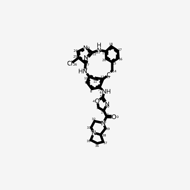 O=C(C1COC(Nc2ccc3cc2CCc2cccc(c2)Nc2ncc(Cl)c(n2)N3)=N1)N1CCN2CCCC2C1